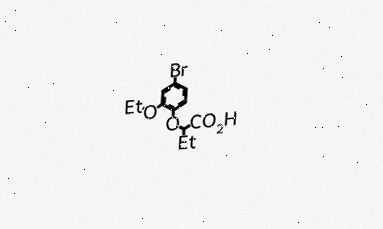 CCOc1cc(Br)ccc1OC(CC)C(=O)O